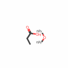 CCC(=O)O.CCCOCCC